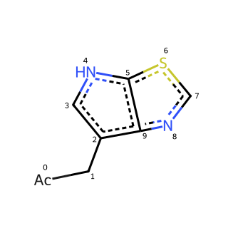 CC(=O)Cc1c[nH]c2scnc12